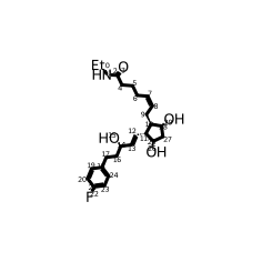 CCNC(=O)CCC/C=C\C[C@@H]1[C@@H](/C=C/[C@@H](O)CCc2ccc(F)cc2)[C@H](O)C[C@@H]1O